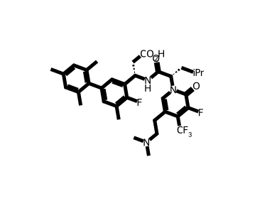 Cc1cc(C)c(-c2cc(C)c(F)c([C@H](CC(=O)O)NC(=O)[C@H](CC(C)C)n3cc(CCN(C)C)c(C(F)(F)F)c(F)c3=O)c2)c(C)c1